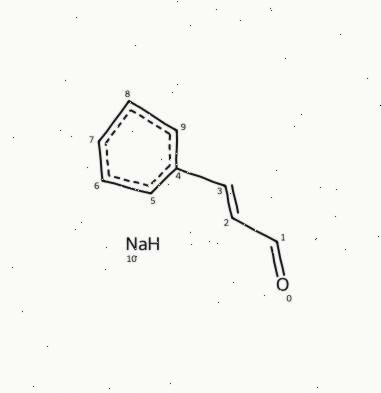 O=CC=Cc1ccccc1.[NaH]